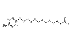 CC(C)CCCCCCCCCCCCc1ccc(O)cc1